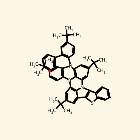 CC(C)(C)c1ccc(N2c3cc(C(C)(C)C)ccc3B3c4c2cc(C(C)(C)C)cc4-n2c4c3cc(C(C)(C)C)cc4c3sc4ccccc4c32)c(-c2ccccc2)c1